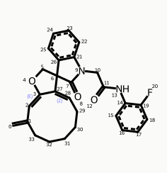 C=C1/C=C2/OCC3(C(=O)N(CC(=O)Nc4ccccc4F)c4ccccc43)/C2=C/CCCCC1